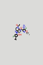 C=CC(=O)N1CCc2nn(-c3cc(F)c(C4CC4)cc3O)c3c2[C@H](C1)N(C(=O)c1cnc(OC(F)(F)F)c(F)c1N)CC3